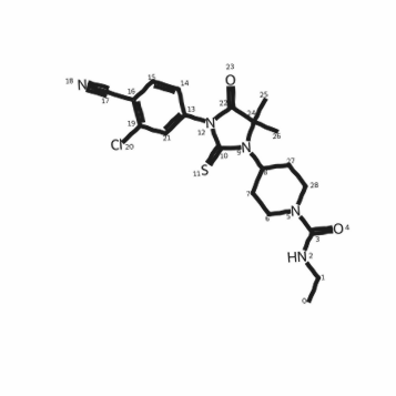 CCNC(=O)N1CCC(N2C(=S)N(c3ccc(C#N)c(Cl)c3)C(=O)C2(C)C)CC1